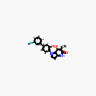 N#Cc1c(O)c2c(ccn2-c2ccc(-c3cccc(F)c3)cc2)[nH]c1=O